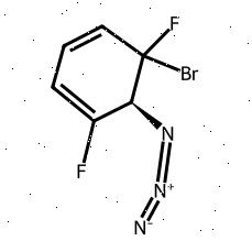 [N-]=[N+]=N[C@H]1C(F)=CC=CC1(F)Br